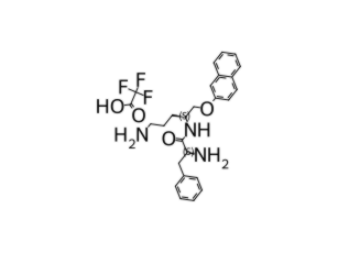 NCCC[C@@H](COc1ccc2ccccc2c1)NC(=O)[C@@H](N)Cc1ccccc1.O=C(O)C(F)(F)F